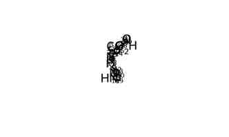 O=C(O)CC(CN1CC[C@@](F)(CCc2ccc3c(n2)NCCC3)C1)c1cccc(OCC2COC2)c1